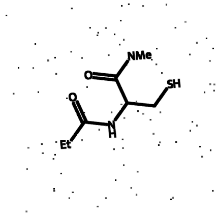 CCC(=O)NC(CS)C(=O)NC